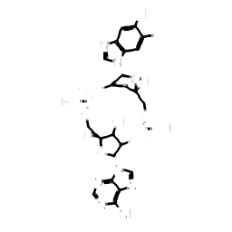 Nc1ncnc2c1ncn2[C@@H]1O[C@@H]2COP(=O)(O)OC3C(O)[C@@H](COP(=O)(O)OC1C2O)O[C@H]3n1cnc2cc(Cl)c(Cl)cc21